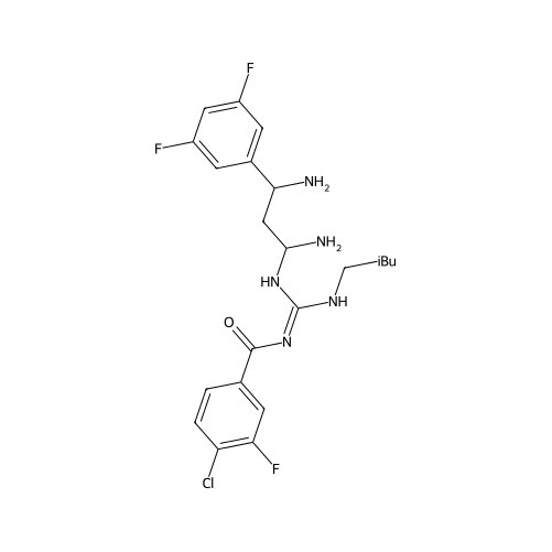 CCC(C)CN/C(=N/C(=O)c1ccc(Cl)c(F)c1)NC(N)CC(N)c1cc(F)cc(F)c1